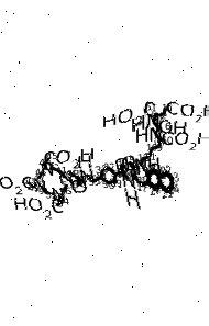 O=C(O)CC[C@H](NC(O)N[C@@H](CCCCNC(=O)C(Cc1ccc2ccccc2c1)NC(=O)C1CCC(CNC(=O)CN2CCN(CC(=O)O)CCN(CC(=O)O)CCN(CC(=O)O)CC2)CC1)C(=O)O)C(=O)O